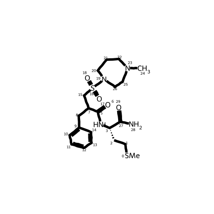 CSCC[C@H](NC(=O)C(Cc1ccccc1)CS(=O)(=O)N1CCCN(C)CC1)C(N)=O